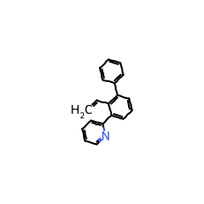 C=Cc1c(-c2ccccc2)cccc1-c1ccccn1